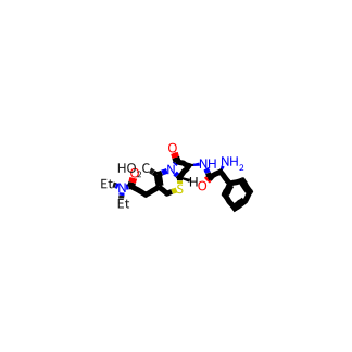 CCN(CC)C(=O)CC1=C(C(=O)O)N2C(=O)[C@@H](NC(=O)[C@@H](N)c3ccccc3)[C@@H]2SC1